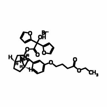 CCOC(=O)CCCOc1cccc(C[N@+]2(C)[C@@H]3CC[C@H]2C[C@@H](OC(=O)C(O)(c2ccco2)c2ccco2)C3)c1.[Br-]